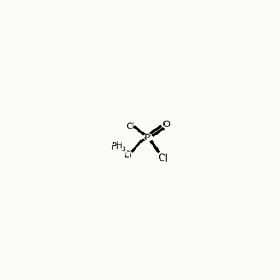 O=P(Cl)(Cl)Cl.P